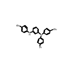 CC(C)c1ccc(N(c2ccc(C(C)(C)C)cc2)c2cccc(Nc3c#cc(C(C)(C)C)cc3)c2)cc1